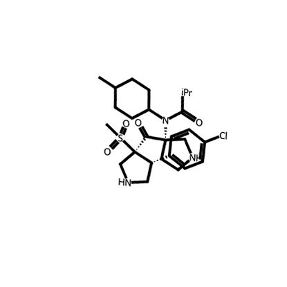 CC1CCC(N(C(=O)C(C)C)[C@@]2(C(=O)[C@@]3(S(C)(=O)=O)CNC[C@H]3c3ccc(Cl)cc3)CCNC2)CC1